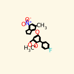 COc1c(C=O)cc(Oc2c(C)cc([N+](=O)[O-])c3c2CCC3)cc1-c1ccc(F)cc1